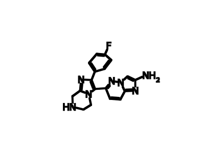 Nc1cn2nc(-c3c(-c4ccc(F)cc4)nc4n3CCNC4)ccc2n1